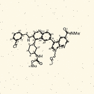 CNC(=O)c1cnc2c(c1)c(-c1ccc3ncc(NCc4cccc(Cl)c4)c(N4CCCC(NC(=O)OC(C)(C)C)C4)c3c1)cn2SOI